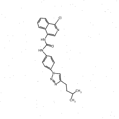 CC(C)CCc1cn(-c2ccc(NC(=O)Nc3cnc(Cl)c4ccccc34)cc2)nn1